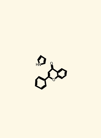 O=c1cc(-c2ccccc2)oc2ccccc12.c1cc[nH]c1